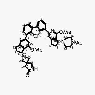 COc1nc(-c2cccc(-c3cccc(-c4cc5c(c(OC)n4)[C@H](N4CC6(CNC(=O)C6)C4)CC5)c3Cl)c2Cl)cc2c1[C@H](N1CCN(C(C)=O)CC1)CC2